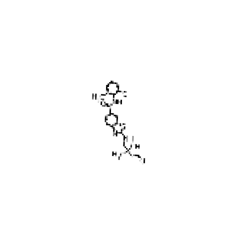 Cc1cccc(Cl)c1NC(=O)c1ccc2nc(NCC(C)(C)CC=O)sc2c1